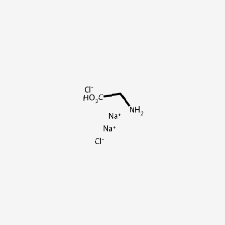 NCC(=O)O.[Cl-].[Cl-].[Na+].[Na+]